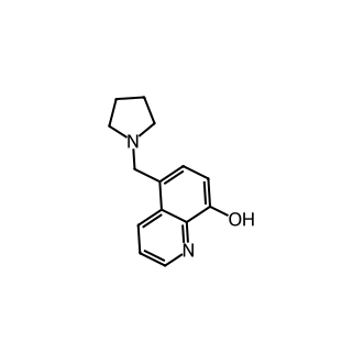 Oc1ccc(CN2CCCC2)c2cccnc12